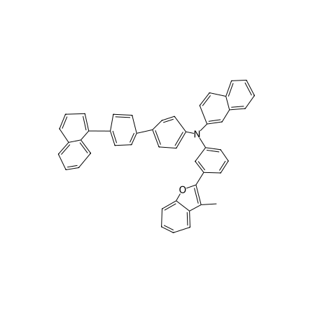 Cc1c(-c2cccc(N(c3ccc(-c4ccc(-c5cccc6ccccc56)cc4)cc3)c3ccc4ccccc4c3)c2)oc2ccccc12